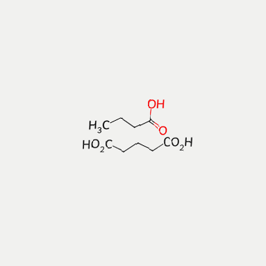 CCCC(=O)O.O=C(O)CCCC(=O)O